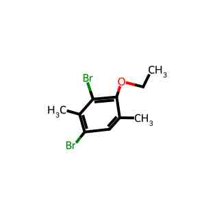 CCOc1c(C)cc(Br)c(C)c1Br